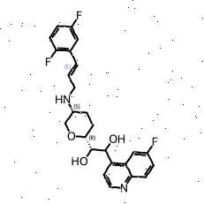 OC(c1ccnc2ccc(F)cc12)C(O)[C@H]1CC[C@H](NC/C=C/c2cc(F)ccc2F)CO1